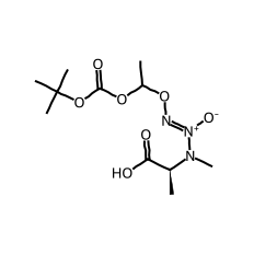 CC(ON=[N+]([O-])N(C)[C@@H](C)C(=O)O)OC(=O)OC(C)(C)C